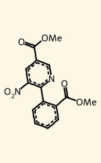 COC(=O)c1cnc(-c2ccccc2C(=O)OC)c([N+](=O)[O-])c1